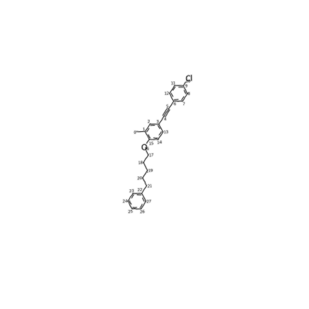 Cc1cc(C#Cc2ccc(Cl)cc2)ccc1OCC[CH]CCc1ccccc1